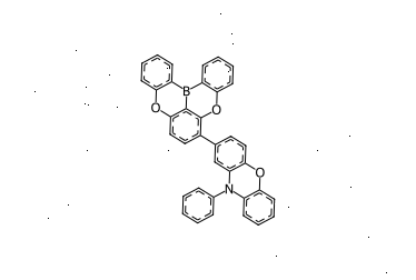 c1ccc(N2c3ccccc3Oc3ccc(-c4ccc5c6c4Oc4ccccc4B6c4ccccc4O5)cc32)cc1